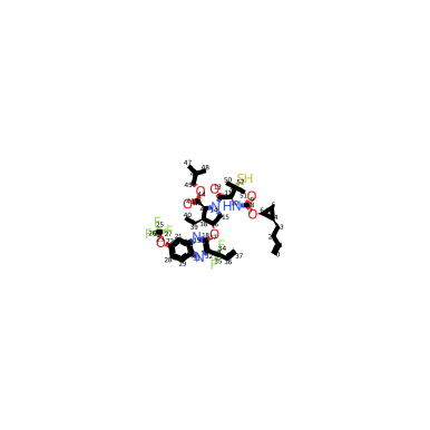 C=CCC[C@@H]1C[C@H]1OC(=O)N[C@H](C(=O)N1C[C@H](Oc2nc3cc(OC(F)(F)F)ccc3nc2C(F)(F)C=C)[C@@H](CC)[C@H]1C(=O)OCC(C)C)C(C)(C)S